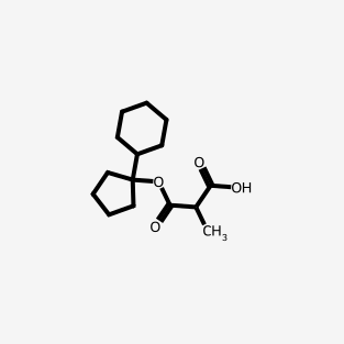 CC(C(=O)O)C(=O)OC1(C2CCCCC2)CCCC1